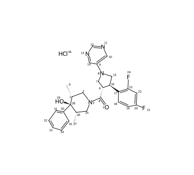 C[C@@H]1CN(C(=O)[C@@H]2CN(c3cncnc3)C[C@H]2c2ccc(F)cc2F)C[C@H](C)[C@]1(O)c1ccccc1.Cl